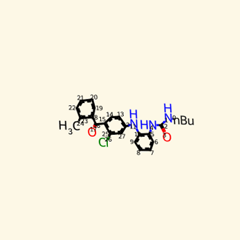 CCCCNC(=O)Nc1ccccc1Nc1ccc(C(=O)c2ccccc2C)c(Cl)c1